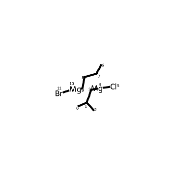 CC(C)[CH2][Mg][Cl].CCC[CH2][Mg][Br]